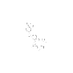 CCOC(=O)CSc1cc(Oc2ccc(C(F)(F)F)cc2)ccc1[N+](=O)[O-]